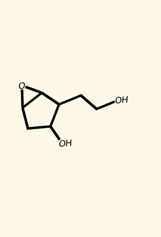 OCCC1C(O)CC2OC21